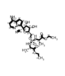 CCOC(=O)[C@H](C)NP(=O)(N[C@@H](C)C(=O)OCC)OC[C@H]1O[C@@](C#N)(c2ccc3c(N)ccnn23)[C@H](O)[C@@H]1O